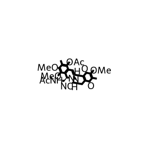 COC1=C(C)C(=O)C2=C(C1=O)[C@@H]1C3=Cc4c(OC(C)=O)c(C)c(OC)c(OC)c4[C@H](CNC(C)=O)N3[C@@H](C#N)[C@@H](C2)N1C